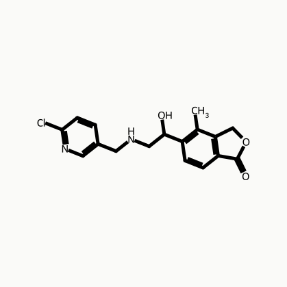 Cc1c(C(O)CNCc2ccc(Cl)nc2)ccc2c1COC2=O